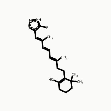 CC(/C=C/C=C(\C)CCC1=C(O)CCCC1(C)C)=C\c1nn[nH]c1F